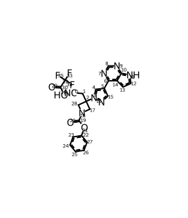 N#CCC1(n2cc(-c3ncnc4[nH]ccc34)cn2)CN(C(=O)Oc2ccccc2)C1.O=C(O)C(F)(F)F